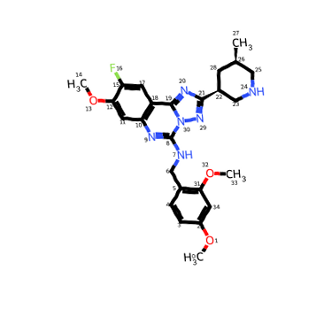 COc1ccc(CNc2nc3cc(OC)c(F)cc3c3nc([C@@H]4CNC[C@H](C)C4)nn23)c(OC)c1